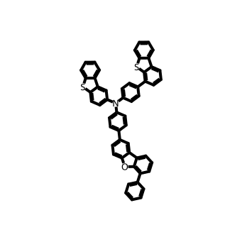 c1ccc(-c2cccc3c2oc2ccc(-c4ccc(N(c5ccc(-c6cccc7c6sc6ccccc67)cc5)c5ccc6sc7ccccc7c6c5)cc4)cc23)cc1